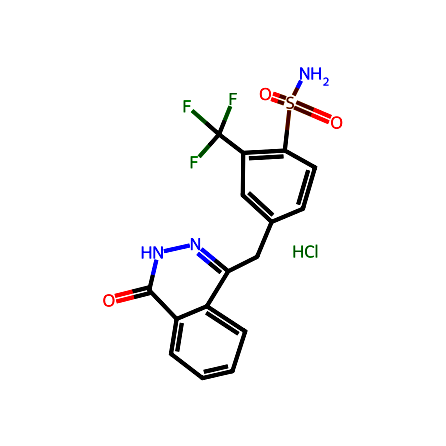 Cl.NS(=O)(=O)c1ccc(Cc2n[nH]c(=O)c3ccccc23)cc1C(F)(F)F